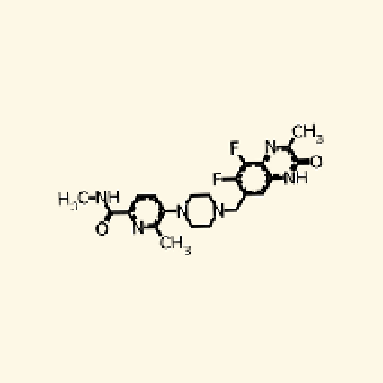 CNC(=O)c1ccc(N2CCN(Cc3cc4[nH]c(=O)c(C)nc4c(F)c3F)CC2)c(C)n1